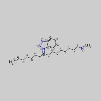 C=NCCCCCCCCCCCCCCCC.c1ccc2[nH]nnc2c1